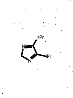 CCCC1=NCN=C1C(C)C